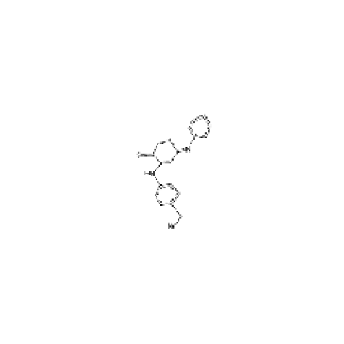 N#CCc1ccc(NC2=C/C(=N/c3ccccc3)C=CC2=S)cc1